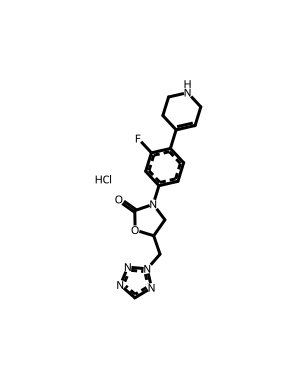 Cl.O=C1OC(Cn2ncnn2)CN1c1ccc(C2=CCNCC2)c(F)c1